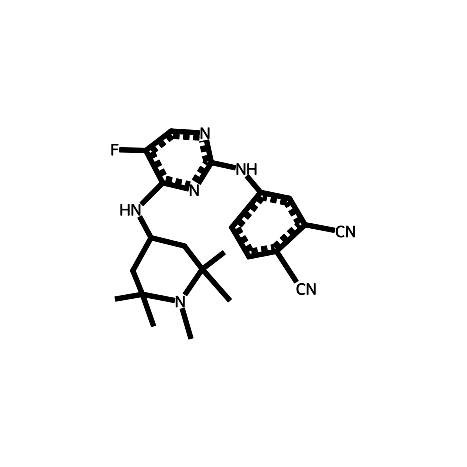 CN1C(C)(C)CC(Nc2nc(Nc3ccc(C#N)c(C#N)c3)ncc2F)CC1(C)C